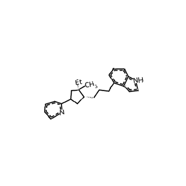 CC[C@@]1(C)CC(c2ccccn2)C[C@H]1CCCc1cccc2[nH]ccc12